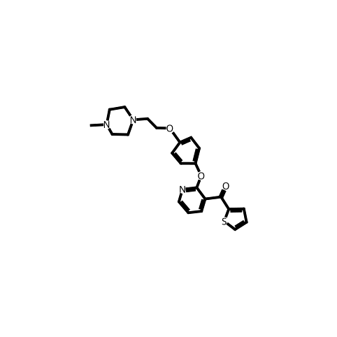 CN1CCN(CCOc2ccc(Oc3ncccc3C(=O)c3cccs3)cc2)CC1